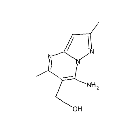 Cc1cc2nc(C)c(CO)c(N)n2n1